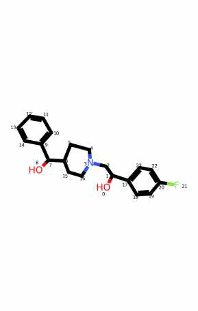 OC(CN1CCC(C(O)c2ccccc2)CC1)c1ccc(F)cc1